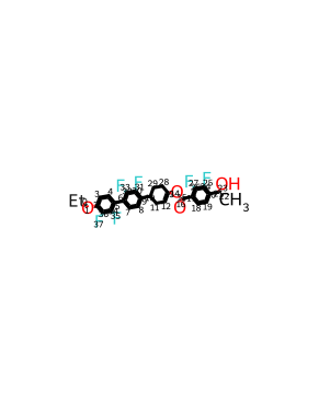 CCOc1ccc(-c2ccc(C3CC=C(OC(=O)c4ccc(C(C)O)c(F)c4F)CC3)c(F)c2F)c(F)c1F